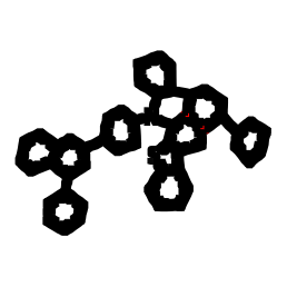 c1ccc(-c2ccc(-c3ccccc3N(c3ccc(-c4cc(-c5ccccc5)c5ccccc5c4)cc3)c3cccc4c3sc3ccccc34)cc2)cc1